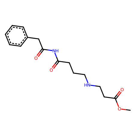 COC(=O)CCNCCCC(=O)NC(=O)Cc1ccccc1